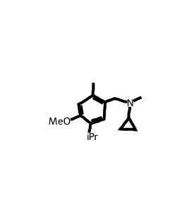 COc1cc(C)c(CN(C)C2CC2)cc1C(C)C